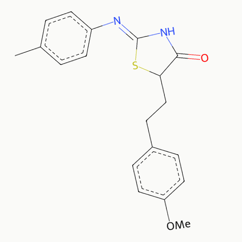 COc1ccc(CCC2S/C(=N\c3ccc(C)cc3)NC2=O)cc1